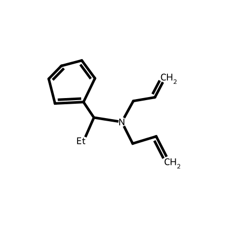 C=CCN(CC=C)C(CC)c1ccccc1